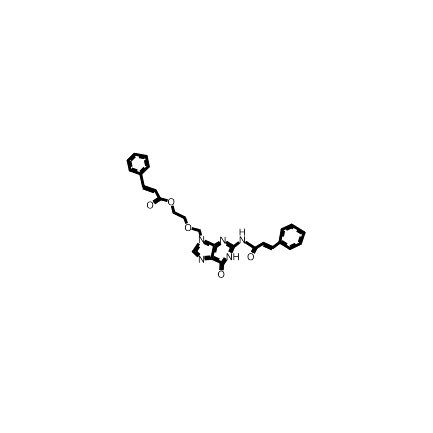 O=C(C=Cc1ccccc1)Nc1nc2c(ncn2COCCOC(=O)C=Cc2ccccc2)c(=O)[nH]1